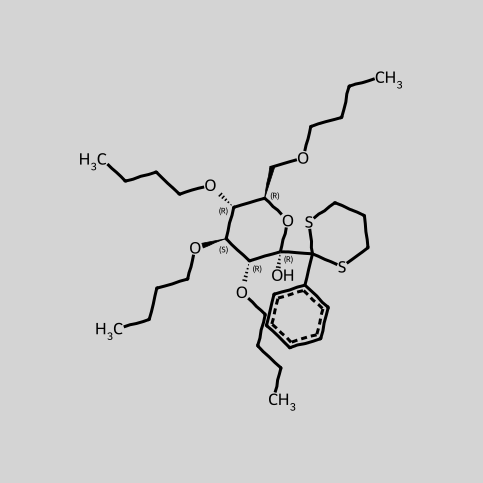 CCCCOC[C@H]1O[C@@](O)(C2(c3ccccc3)SCCCS2)[C@H](OCCCC)[C@@H](OCCCC)[C@@H]1OCCCC